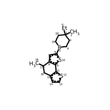 CCC1(C)CCB(c2cc3c(s2)-c2sccc2CC3C)CC1